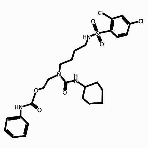 O=C(Nc1ccccc1)OCCN(CCCCNS(=O)(=O)c1ccc(Cl)cc1Cl)C(=O)NC1CCCCC1